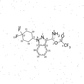 NC(OC(=O)C(F)(F)F)c1nn(C2CCC(F)(F)CC2)c2ccccc12